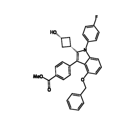 COC(=O)c1ccc(-c2c3c(OCc4ccccc4)cccc3n(-c3ccc(F)cc3)c2[C@H]2C[C@@H](O)C2)cc1